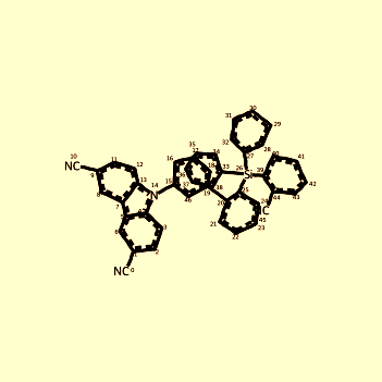 N#Cc1ccc2c(c1)c1cc(C#N)ccc1n2-c1cccc(-c2ccccc2[Si](c2ccccc2)(c2ccccc2)c2ccccc2C#N)c1